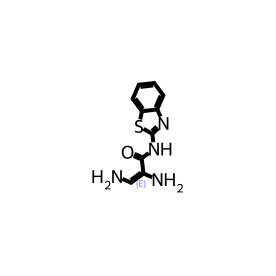 N/C=C(/N)C(=O)Nc1nc2ccccc2s1